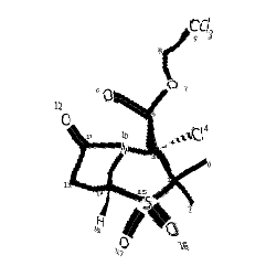 CC1(C)[C@](Cl)(C(=O)OCC(Cl)(Cl)Cl)N2C(=O)C[C@H]2S1(=O)=O